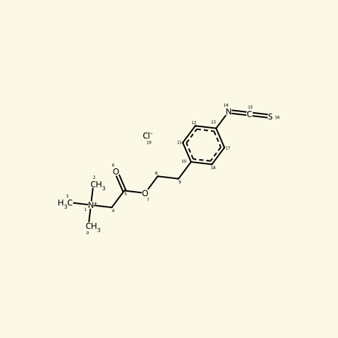 C[N+](C)(C)CC(=O)OCCc1ccc(N=C=S)cc1.[Cl-]